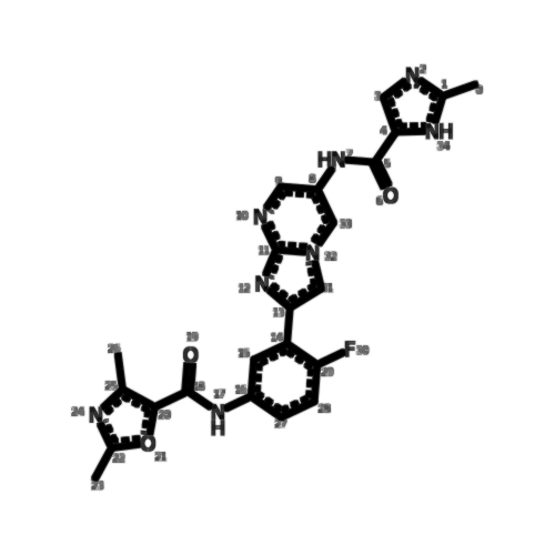 Cc1ncc(C(=O)Nc2cnc3nc(-c4cc(NC(=O)c5oc(C)nc5C)ccc4F)cn3c2)[nH]1